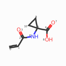 C=CC(=O)NC1(C(=O)O)CC1